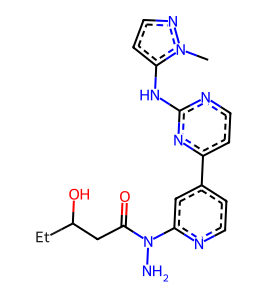 CCC(O)CC(=O)N(N)c1cc(-c2ccnc(Nc3ccnn3C)n2)ccn1